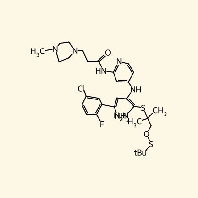 CN1CCN(CCC(=O)Nc2cc(NC(/C=C(\N)c3cc(Cl)ccc3F)=C(/N)SC(C)(C)COSC(C)(C)C)ccn2)CC1